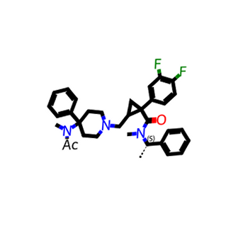 CC(=O)N(C)C1(c2ccccc2)CCN(CC2CC2(C(=O)N(C)[C@@H](C)c2ccccc2)c2ccc(F)c(F)c2)CC1